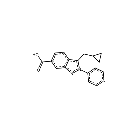 O=C(O)c1ccc2c(CC3CC3)n(-c3ccncc3)nc2c1